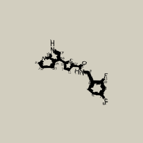 O=C(NCc1ccc(F)cc1F)c1ccc(-c2c[nH]c3ncccc23)s1